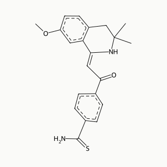 COc1ccc2c(c1)/C(=C/C(=O)c1ccc(C(N)=S)cc1)NC(C)(C)C2